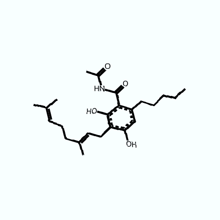 CCCCCc1cc(O)c(C/C=C(\C)CCC=C(C)C)c(O)c1C(=O)NC(C)=O